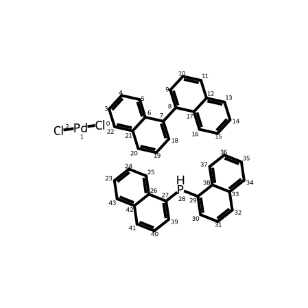 [Cl][Pd][Cl].c1ccc2c(-c3cccc4ccccc34)cccc2c1.c1ccc2c(Pc3cccc4ccccc34)cccc2c1